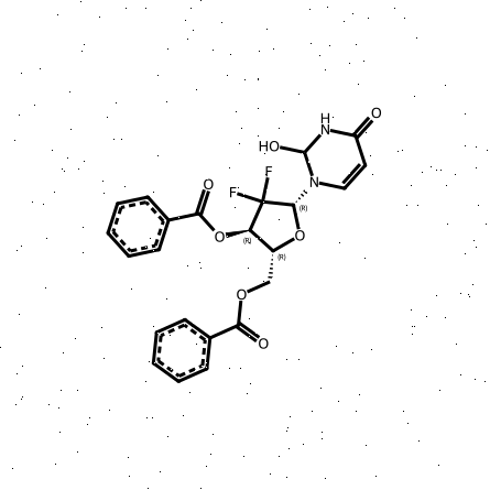 O=C1C=CN([C@@H]2O[C@H](COC(=O)c3ccccc3)[C@@H](OC(=O)c3ccccc3)C2(F)F)C(O)N1